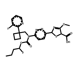 CCCC(F)OC(=O)N(CC1(c2ncccc2F)CCC1)c1ccc(C2N=C(OC)C(C(=O)O)S2)nn1